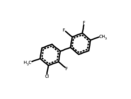 Cc1ccc(-c2ccc(C)c(Cl)c2F)c(F)c1F